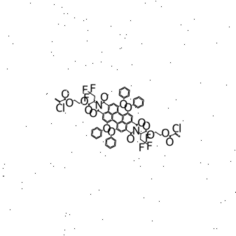 C=C(Cl)C(=O)OCCOC(=O)C(CC(F)(F)F)N1C(=O)c2cc(Oc3ccccc3)c3c4c(Oc5ccccc5)cc5c6c(cc(Oc7ccccc7)c(c7c(Oc8ccccc8)cc(c2c37)C1=O)c64)C(=O)N(C(CC(F)(F)F)C(=O)OCCOC(=O)C(=C)Cl)C5=O